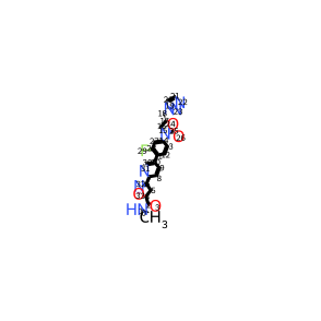 CNC(=O)C1CC(c2ccc(-c3ccc(N4C[C@H](Cn5ccnn5)OC4=O)cc3F)cn2)=NO1